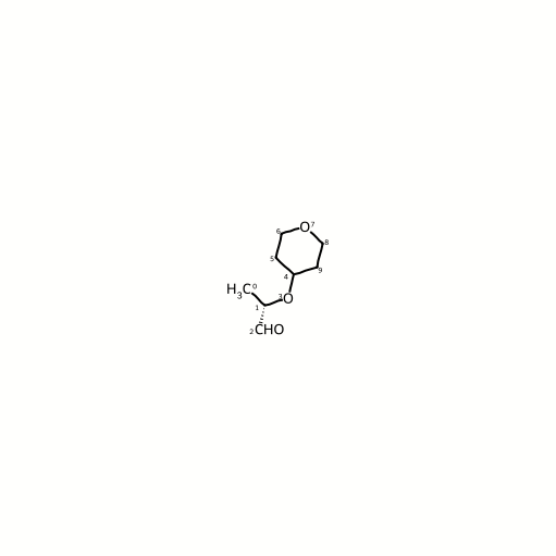 C[C@@H](C=O)OC1CCOCC1